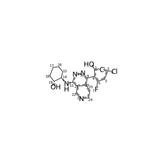 Oc1cc(Cl)cc(F)c1-c1nnc(N[C@@H]2CCCC[C@H]2O)c2cnccc12